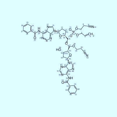 C=CCOP(=O)(OCCC#N)O[C@H]1C[C@H](n2cnc3c(NC(=O)c4ccccc4)ncnc32)O[C@@H]1COC(OCCC#N)[C@H]1O[C@@H](n2cnc3c(NC(=O)c4ccccc4)ncnc32)C[C@@H]1O